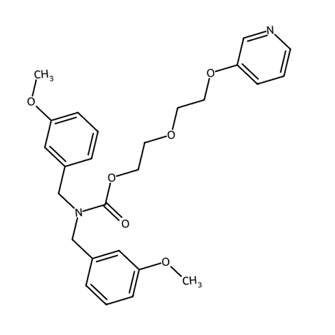 COc1cccc(CN(Cc2cccc(OC)c2)C(=O)OCCOCCOc2cccnc2)c1